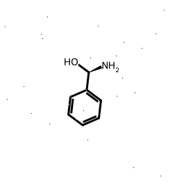 N[C@H](O)c1ccccc1